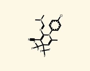 CC1=CC(C(F)(F)F)(C(F)(F)F)C(C#N)=C(/N=C/N(C)C)N1c1ccc(Cl)cc1